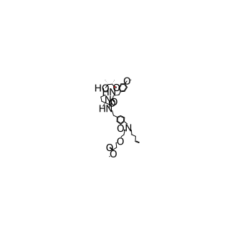 C=CCCCN(Cc1ccc(CCNC(=O)[C@]2(C)CCCN2C(=O)[C@H](Cc2ccc(OC)cc2)NC(=O)[C@@H](C)[C@@H](C)O)cc1)C(=O)CCOCCC(=O)OC